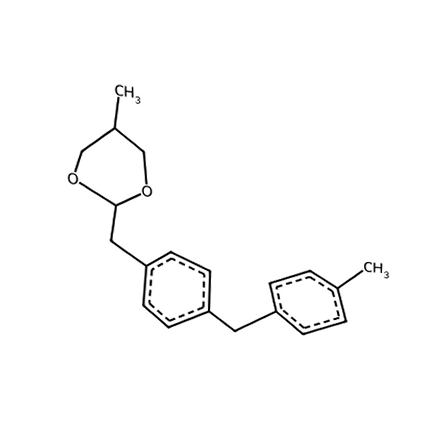 Cc1ccc(Cc2ccc(CC3OCC(C)CO3)cc2)cc1